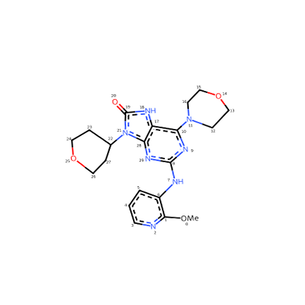 COc1ncccc1Nc1nc(N2CCOCC2)c2[nH]c(=O)n(C3CCOCC3)c2n1